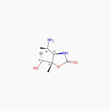 CC[C@@H](O)[C@@]1(C)OC(=O)N[C@@H]1[C@@H](C)N